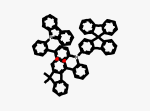 CC1(C)c2ccccc2-c2c(-c3ccccc3N(c3ccc(-c4ccccc4-n4c5ccccc5c5ccccc54)cc3)c3ccc4c(c3)-c3ccccc3C43c4ccccc4-c4ccccc43)cccc21